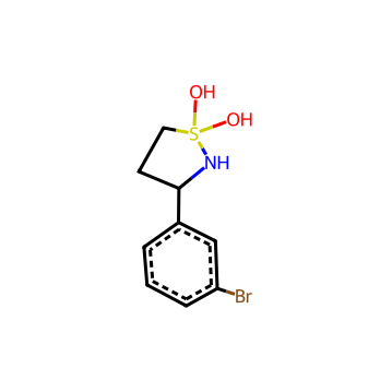 OS1(O)CCC(c2cccc(Br)c2)N1